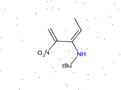 C=C(/C(=C\C)NC(C)(C)C)[N+](=O)[O-]